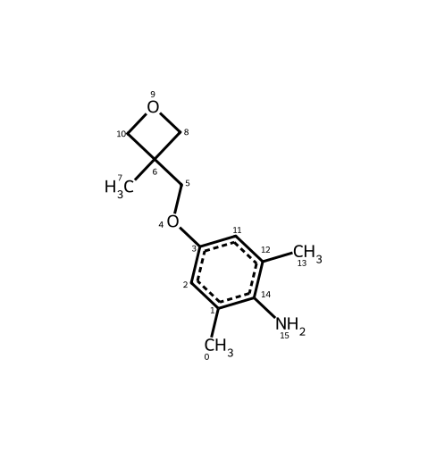 Cc1cc(OCC2(C)COC2)cc(C)c1N